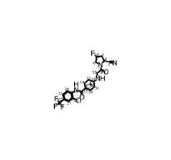 N#C[C@@H]1C[C@H](F)CN1C(=O)CNC12CCC(C(=O)Nc3ccc(C(F)(F)F)cc3Cl)(CC1)CC2